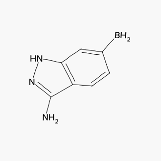 Bc1ccc2c(N)n[nH]c2c1